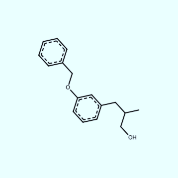 CC(CO)Cc1cccc(OCc2ccccc2)c1